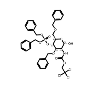 O=C(N[C@H]1[C@@H](OCc2ccccc2)[C@H](OP(=O)(OCc2ccccc2)OCc2ccccc2)[C@@H](COCc2ccccc2)O[C@@H]1O)OCC(Cl)(Cl)Cl